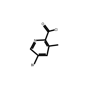 Cc1cc(Br)cnc1C(=O)Cl